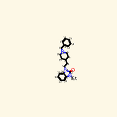 CCn1c(=O)n(CCC2CCN(Cc3ccccc3)CC2)c2ccccc21